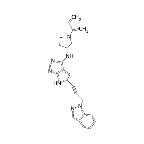 C=CC(=C)N1CC[C@@H](Nc2ncnc3[nH]c(C#CCn4ncc5ccccc54)cc23)C1